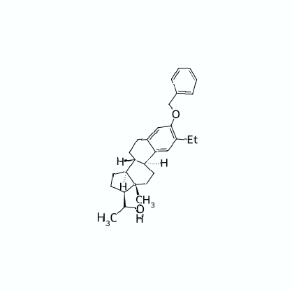 CCc1cc2c(cc1OCc1ccccc1)CC[C@@H]1[C@@H]2CC[C@]2(C)[C@@H](C(C)O)CC[C@@H]12